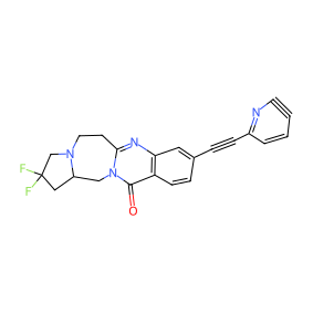 O=c1c2ccc(C#Cc3ccc#cn3)cc2nc2n1CC1CC(F)(F)CN1CC2